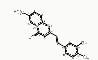 O=C(O)c1ccc2nc(/C=C/c3ccc(Cl)c(Cl)c3)cc(=O)n2c1